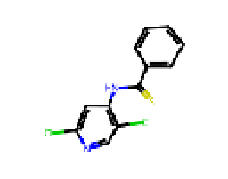 S=C(Nc1cc(Cl)ncc1Cl)c1ccccc1